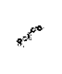 O=C(c1csc(C2CCN(Cc3ccc(F)cc3)CC2)n1)N1CCN(c2cccc(C(F)(F)F)c2)CC1